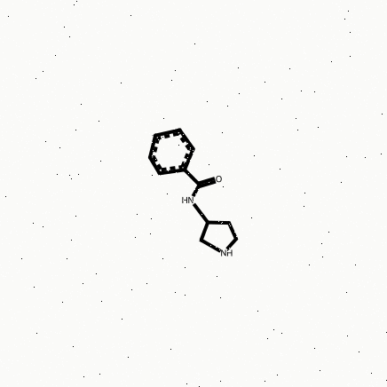 O=C(NC1CCNC1)c1cc[c]cc1